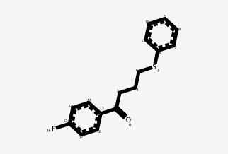 O=C(CCCSc1ccccc1)c1ccc(F)cc1